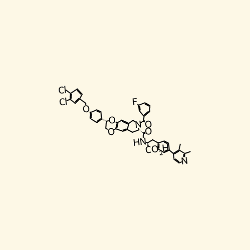 Cc1nccc(-c2ccc(C[C@H](NC(=O)[C@@H]3Cc4cc5c(cc4CN3C(=O)c3cccc(F)c3)O[C@@H](c3ccc(OCc4ccc(Cl)c(Cl)c4)cc3)CO5)C(=O)O)cc2)c1C